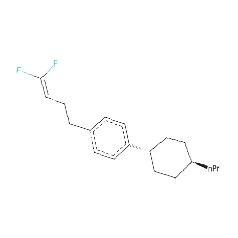 CCC[C@H]1CC[C@H](c2ccc(CCC=C(F)F)cc2)CC1